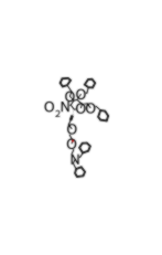 O=[N+]([O-])[C@@H]1[C@@H](OCc2ccccc2)[C@@H](OCc2ccccc2)[C@@H](COCc2ccccc2)O[C@@H]1C#CCOCCOCCN(Cc1ccccc1)Cc1ccccc1